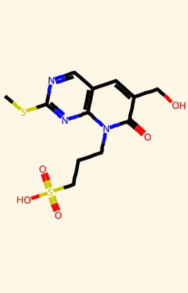 CSc1ncc2cc(CO)c(=O)n(CCCS(=O)(=O)O)c2n1